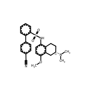 COc1ccc(NS(=O)(=O)c2ccccc2-c2ccc(C#N)cc2)c2c1C[C@@H](N(C)C)CC2